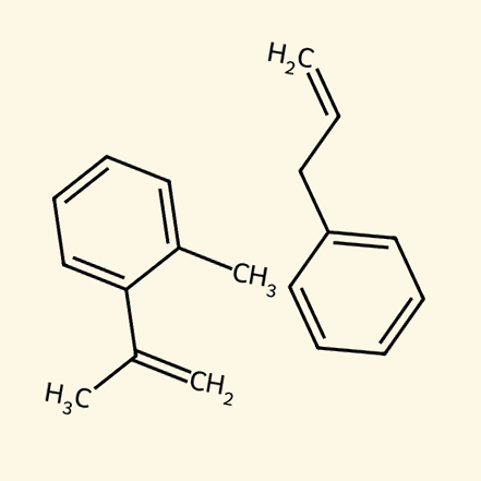 C=C(C)c1ccccc1C.C=CCc1ccccc1